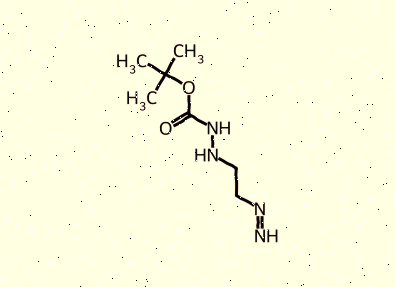 CC(C)(C)OC(=O)NNCCN=N